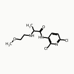 COCCNC(C)C(=O)Nc1ccc(Cl)nc1Cl